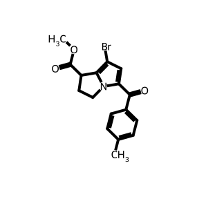 COC(=O)C1CCn2c(C(=O)c3ccc(C)cc3)cc(Br)c21